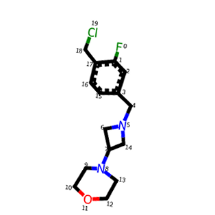 Fc1cc(CN2CC(N3CCOCC3)C2)ccc1CCl